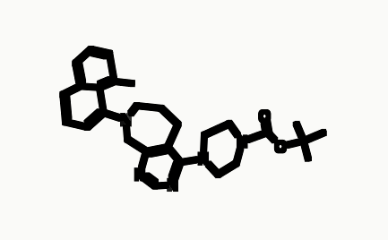 Cc1cccc2cccc(N3CCCc4c(ncnc4N4CCN(C(=O)OC(C)(C)C)CC4)C3)c12